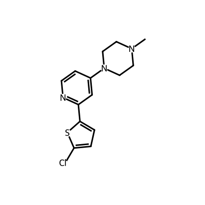 CN1CCN(c2ccnc(-c3ccc(Cl)s3)c2)CC1